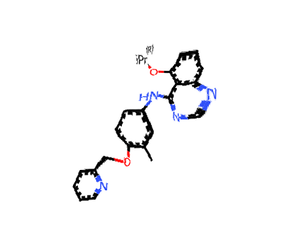 [CH2][C@H](C)Oc1cccc2ncnc(Nc3ccc(OCc4ccccn4)c(C)c3)c12